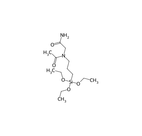 CCO[Si](CCCN(CC(N)=O)C(C)=O)(OCC)OCC